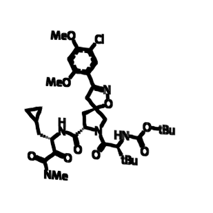 CNC(=O)C(=O)[C@H](CC1CC1)NC(=O)[C@@H]1C[C@]2(CC(c3cc(Cl)c(OC)cc3OC)=NO2)CN1C(=O)[C@@H](NC(=O)OC(C)(C)C)C(C)(C)C